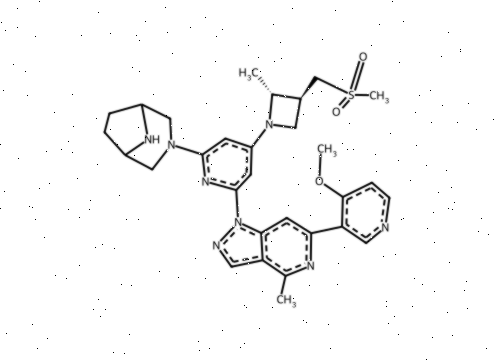 COc1ccncc1-c1cc2c(cnn2-c2cc(N3C[C@H](CS(C)(=O)=O)[C@H]3C)cc(N3CC4CCC(C3)N4)n2)c(C)n1